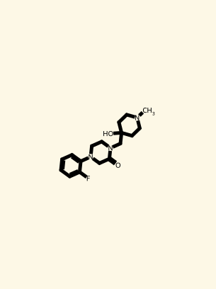 CN1CCC(O)(CN2CCN(c3ccccc3F)CC2=O)CC1